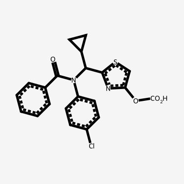 O=C(O)Oc1csc(C(C2CC2)N(C(=O)c2ccccc2)c2ccc(Cl)cc2)n1